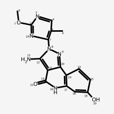 COc1ncc(C)c(-n2nc3c(c2N)c(=O)[nH]c2cc(O)ccc23)n1